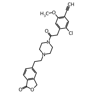 C#Cc1cc(Cl)c(CC(=O)N2CCN(CCc3ccc4c(c3)COC4=O)CC2)cc1OC